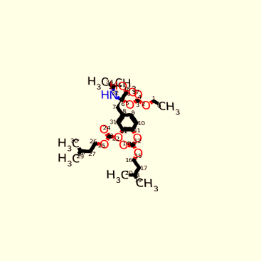 CCOC(=O)O[C@](Cc1ccc(OC(=O)OCCC(C)C)c(OC(=O)OCCC(C)C)c1)(NC(C)C)C(=O)O